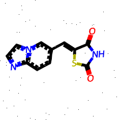 O=C1NC(=O)/C(=C/c2ccc3nccn3c2)S1